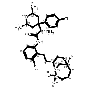 C[C@@H]1CC(c2ccc(Cl)cc2)([C@H](N)C(=O)Nc2cccc(F)c2CC[C@H]2CN[C@@H]3CCCS(O)(O)N2C3)C[C@H](C)O1